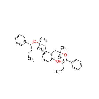 CCCC(OC(C)(C)Cc1cccc(O)c1CC(C)(C)OC(CCC)c1ccccc1)c1ccccc1